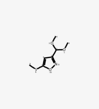 COC(OC)c1cc(SC)on1